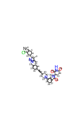 Cc1c(-c2ccc(C#N)c(Cl)c2)nn(Cc2ccc(C#CC3CCN(c4cccc5c4CN(C4CCC(=O)NC4=O)C5=O)CC3)cc2)c1C